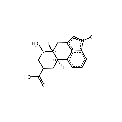 CN1CC(C(=O)O)C[C@@H]2c3cccc4c3c(cn4C)C[C@H]21